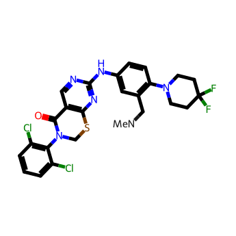 CNCc1cc(Nc2ncc3c(n2)SCN(c2c(Cl)cccc2Cl)C3=O)ccc1N1CCC(F)(F)CC1